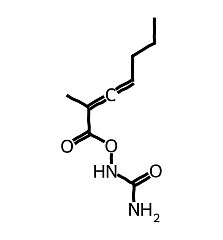 CCCC=C=C(C)C(=O)ONC(N)=O